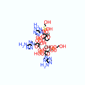 CO[C@@H]1C(OP(=O)(O)OC[C@H]2O[C@@H](n3cnc4c(N)ncnc43)C(OP(=O)(O)OC[C@]34CCCO[C@@H]3C(OP(=O)(O)SCCO)[C@H](n3cnc5c(N)ncnc53)O4)[C@H]2O)[C@H](n2cnc3c(N)ncnc32)O[C@@H]1COP(=O)(O)OCCO